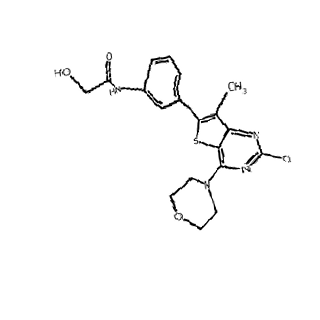 Cc1c(-c2cccc(NC(=O)CO)c2)sc2c(N3CCOCC3)nc(Cl)nc12